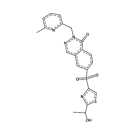 Cc1cccc(Cn2ncc3cc(S(=O)(=O)c4csc(C(C)O)n4)ccc3c2=O)n1